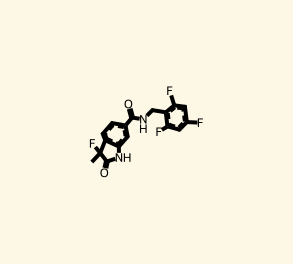 CC1(F)C(=O)Nc2cc(C(=O)NCc3c(F)cc(F)cc3F)ccc21